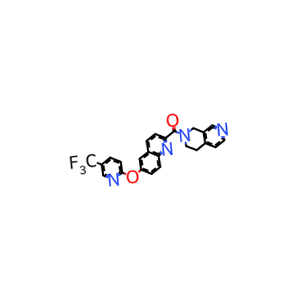 O=C(c1ccc2cc(Oc3ccc(C(F)(F)F)cn3)ccc2n1)N1CCc2ccncc2C1